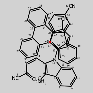 C=C(C#N)/C=C\c1c(C)c2ccccc2n1-c1ccc(C#N)c(-c2ccccc2-c2ccccc2-n2c3ccccc3c3cc(C#N)ccc32)c1